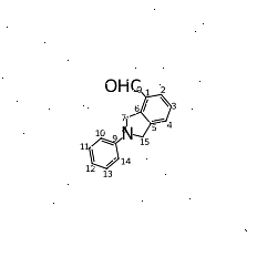 O=Cc1cccc2c1CN(c1ccccc1)C2